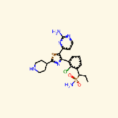 CCC(c1cccc(-c2nc(C3CCNCC3)sc2-c2ccnc(N)n2)c1Cl)S(N)(=O)=O